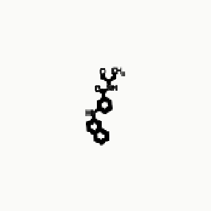 CCC(C=O)NC(=O)c1cccc(Nc2ccc3ccccc3c2)c1